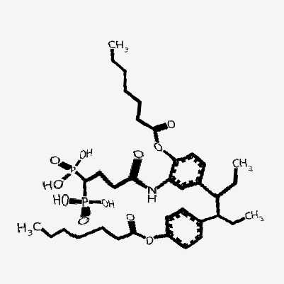 CCCCCCC(=O)Oc1ccc(C(CC)C(CC)c2ccc(OC(=O)CCCCCC)c(NC(=O)CCC(P(=O)(O)O)P(=O)(O)O)c2)cc1